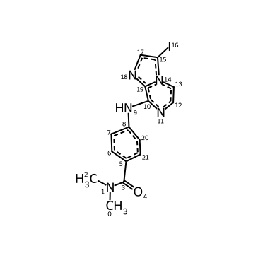 CN(C)C(=O)c1ccc(Nc2nccn3c(I)cnc23)cc1